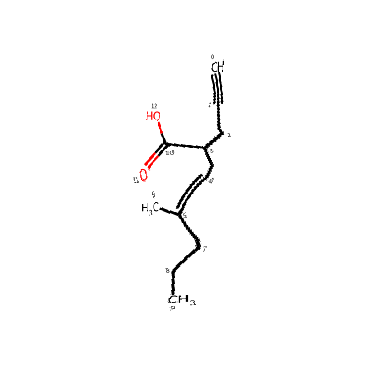 C#CCC(/C=C(\C)CCC)C(=O)O